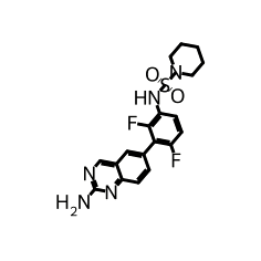 Nc1ncc2cc(-c3c(F)ccc(NS(=O)(=O)N4CCCCC4)c3F)ccc2n1